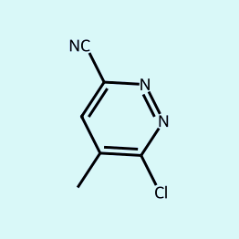 Cc1cc(C#N)nnc1Cl